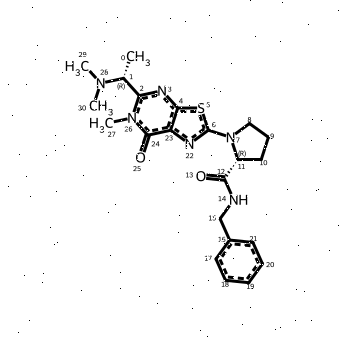 C[C@H](c1nc2sc(N3CCC[C@@H]3C(=O)NCc3ccccc3)nc2c(=O)n1C)N(C)C